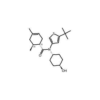 CC1=CC[C@H](C(=O)N(c2csc(C(C)(C)C)c2)[C@H]2CC[C@H](O)CC2)[C@@H](C)C1